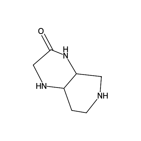 O=C1CNC2CCNCC2N1